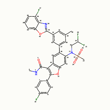 CNC(=O)c1c(-c2ccc(F)cc2)oc2cc(N(CC(F)F)S(C)(=O)=O)c(-c3cc(C)cc(-c4nc5c(F)cccc5o4)c3)cc12